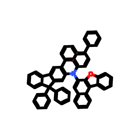 c1ccc(-c2ccc(N(c3cc4c(cc3-c3ccccc3)-c3ccccc3C4(c3ccccc3)c3ccccc3)c3cc4ccccc4c4c3oc3ccccc34)cc2)cc1